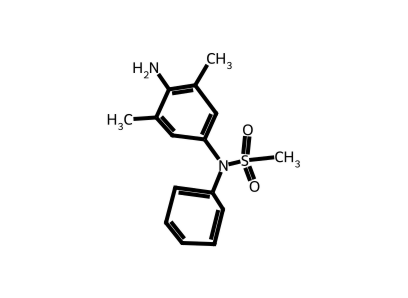 Cc1cc(N(c2ccccc2)S(C)(=O)=O)cc(C)c1N